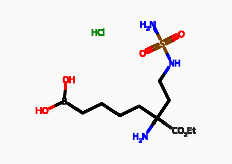 CCOC(=O)C(N)(CCCCB(O)O)CCNS(N)(=O)=O.Cl